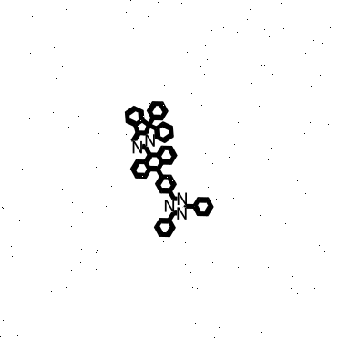 c1ccc(-c2nc(-c3ccccc3)nc(-c3ccc(-c4c5ccccc5c(-c5ncc6c(n5)C(c5ccccc5)(c5ccccc5)c5ccccc5-6)c5ccccc45)cc3)n2)cc1